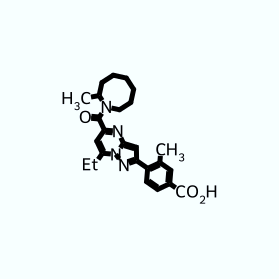 CCc1cc(C(=O)N2CCCCCCC2C)nc2cc(-c3ccc(C(=O)O)cc3C)nn12